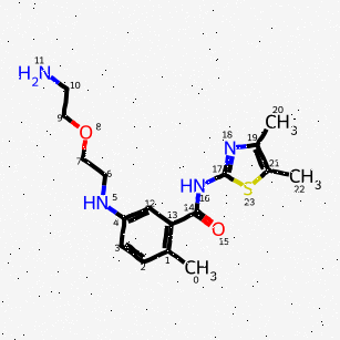 Cc1ccc(NCCOCCN)cc1C(=O)Nc1nc(C)c(C)s1